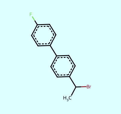 CC(Br)c1ccc(-c2ccc(F)cc2)cc1